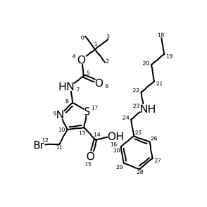 CC(C)(C)OC(=O)Nc1nc(CBr)c(C(=O)O)s1.CCCCCNCc1ccccc1